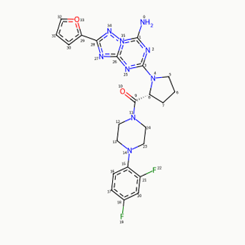 Nc1nc(N2CCC[C@@H]2C(=O)N2CCN(c3ccc(F)cc3F)CC2)nc2nc(-c3ccco3)nn12